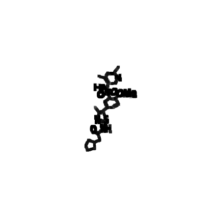 COc1ccc(-c2sc(NC(=O)CC3CCCC3)nc2C)cc1S(=O)(=O)Nc1cnc(C)cc1C